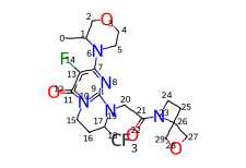 CC1COCCN1c1nc2n(c(=O)c1F)CCC(C(F)(F)F)N2CC(=O)N1CCC12COC2